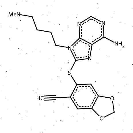 C#Cc1cc2c(cc1Sc1nc3c(N)ncnc3n1CCCCNC)OCO2